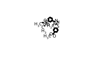 CCN(CC)S(=O)(=O)c1cccc(-c2nnc(Sc3ccc(C(=O)OC)cc3)n2C)c1